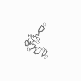 O=C(/C=C/c1ccc(Cl)cc1)N[C@@H](Cc1ccccn1)C(=O)NCC(=O)N1CCCC(Oc2ccc(Cl)cn2)C1